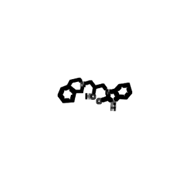 O=c1[nH]c2ccccc2n1CC(O)CN1CCc2ccccc2C1